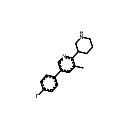 Cc1cc(-c2ccc(F)cc2)cnc1C1CCCNC1